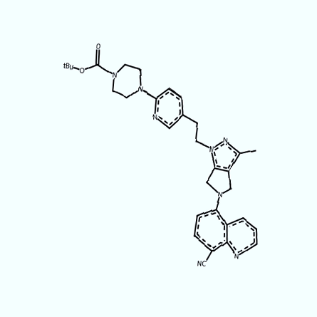 Cc1nn(CCc2ccc(N3CCN(C(=O)OC(C)(C)C)CC3)nc2)c2c1CN(c1ccc(C#N)c3ncccc13)C2